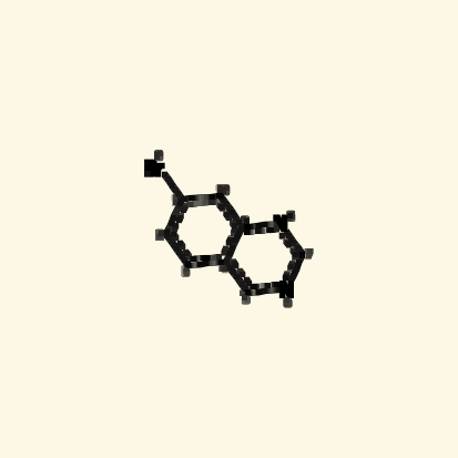 Brc1ccc2[c]ncnc2c1